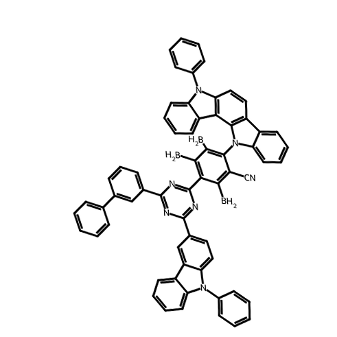 Bc1c(B)c(-n2c3ccccc3c3ccc4c(c5ccccc5n4-c4ccccc4)c32)c(C#N)c(B)c1-c1nc(-c2cccc(-c3ccccc3)c2)nc(-c2ccc3c(c2)c2ccccc2n3-c2ccccc2)n1